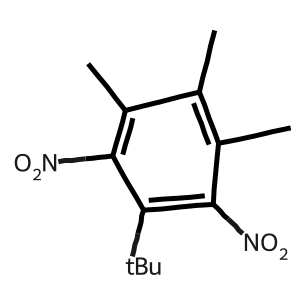 Cc1c(C)c([N+](=O)[O-])c(C(C)(C)C)c([N+](=O)[O-])c1C